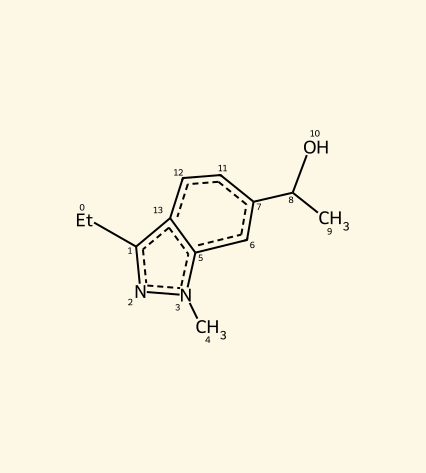 CCc1nn(C)c2cc(C(C)O)ccc12